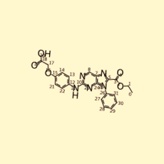 CCOC(=O)c1nc2cnc(Nc3ccc(OCC(=O)O)cc3)nc2n1-c1ccccc1